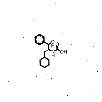 O=C(O)N[C@@H](CC1CCCCC1)C(O)c1ccccc1